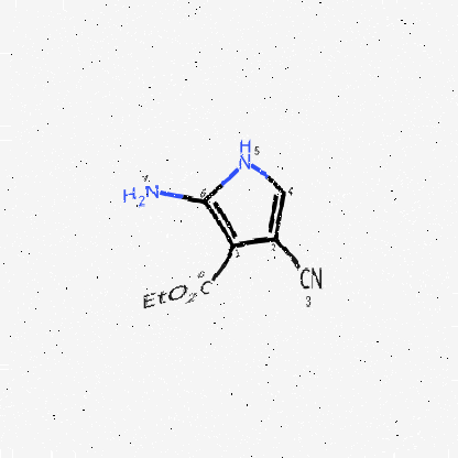 CCOC(=O)c1c(C#N)c[nH]c1N